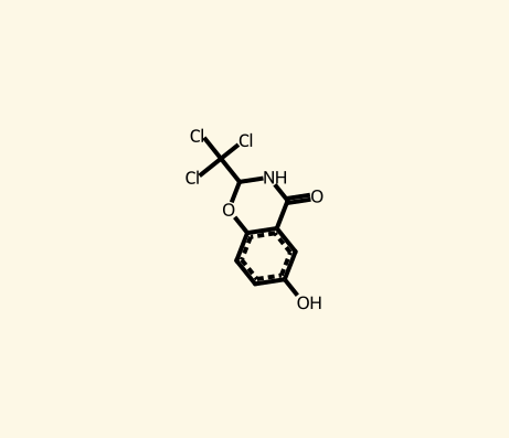 O=C1NC(C(Cl)(Cl)Cl)Oc2ccc(O)cc21